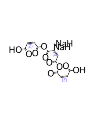 O=C(O)/C=C\C(=O)OC(=O)/C=C\C(=O)OC(=O)/C=C\C(=O)O.[NaH].[NaH]